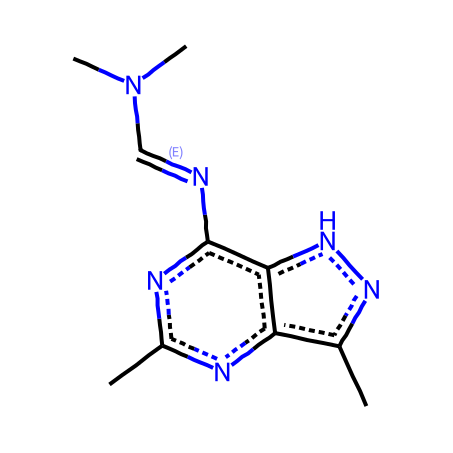 Cc1nc(/N=C/N(C)C)c2[nH]nc(C)c2n1